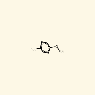 [CH2]CCCc1ccc(OC(C)(C)C)cc1